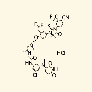 C[C@@H]1CN(CCOc2ccc(N3C(=S)N(c4ccc(C#N)c(C(F)(F)F)c4)C(=O)C3(C)C)cc2CC(F)F)CCN1CC(=O)Nc1cc(Cl)cc(NC2CCC(=O)NC2=O)c1.Cl